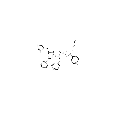 CCCCOC1(c2ccc(F)cc2)CN(C(=O)C(Cc2ccc(OC)cc2)NC(=O)C(Cc2c[nH]cn2)NC(=O)c2ccccc2)C1